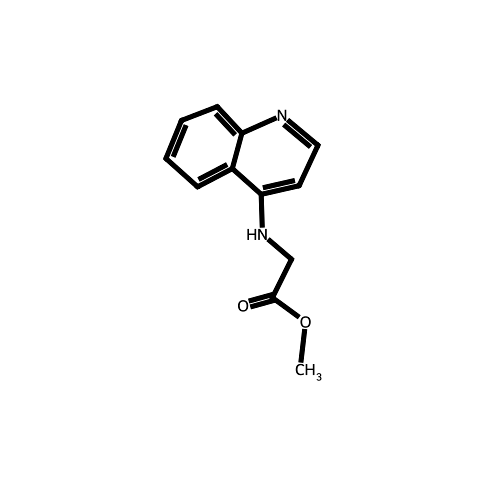 COC(=O)CNc1ccnc2ccccc12